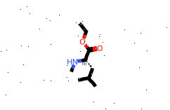 CCOC(=O)[C@H](CC(C)C)NC